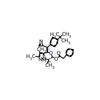 CCn1nc(C)c(C)c1/C(OC(C)OC(=O)Cc1ccccc1)=C(/c1ccc(C(C)(C)C)cc1)C1C=N1